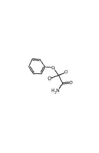 NC(=O)C(Cl)(Cl)Oc1ccccc1